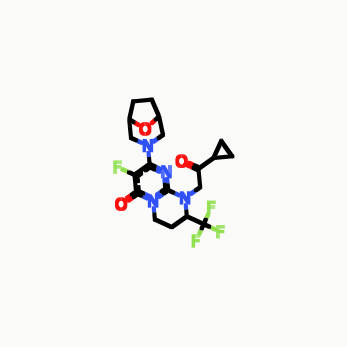 O=C(CN1c2nc(N3CC4CCC(C3)O4)c(F)c(=O)n2CCC1C(F)(F)F)C1CC1